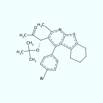 CC(=O)[C@@H](OC(C)(C)C)c1c(C)nc2sc3c(c2c1-c1ccc(Br)cc1)CCCC3